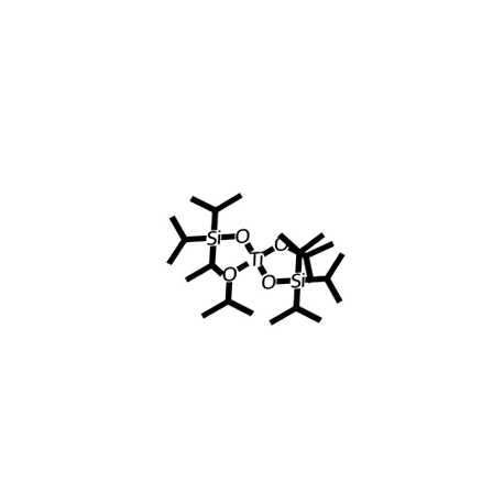 CC(C)[O][Ti]([O]C(C)C)([O][Si](C(C)C)(C(C)C)C(C)C)[O][Si](C(C)C)(C(C)C)C(C)C